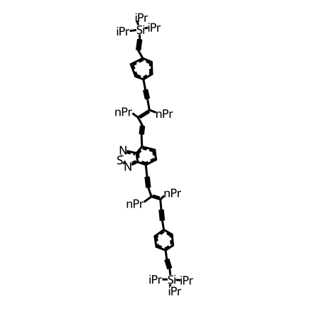 CCC/C(C#Cc1ccc(C#C[Si](C(C)C)(C(C)C)C(C)C)cc1)=C(\C#Cc1ccc(C#C/C(CCC)=C(/C#Cc2ccc(C#C[Si](C(C)C)(C(C)C)C(C)C)cc2)CCC)c2nsnc12)CCC